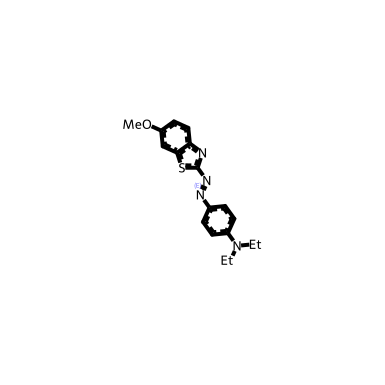 CCN(CC)c1ccc(/N=N/c2nc3ccc(OC)cc3s2)cc1